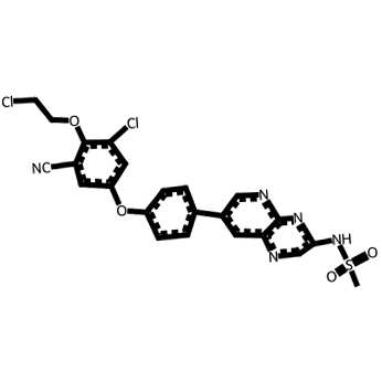 CS(=O)(=O)Nc1cnc2cc(-c3ccc(Oc4cc(Cl)c(OCCCl)c(C#N)c4)cc3)cnc2n1